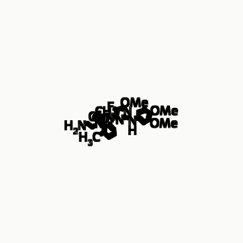 COc1cc(Nc2ncc(F)c(Nc3cccc(C)c3N(CCN)S(C)(=O)=O)n2)cc(OC)c1OC